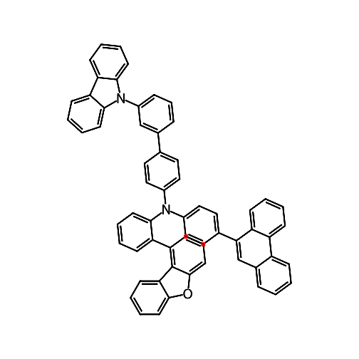 c1cc(-c2ccc(N(c3ccc(-c4cc5ccccc5c5ccccc45)cc3)c3ccccc3-c3cccc4oc5ccccc5c34)cc2)cc(-n2c3ccccc3c3ccccc32)c1